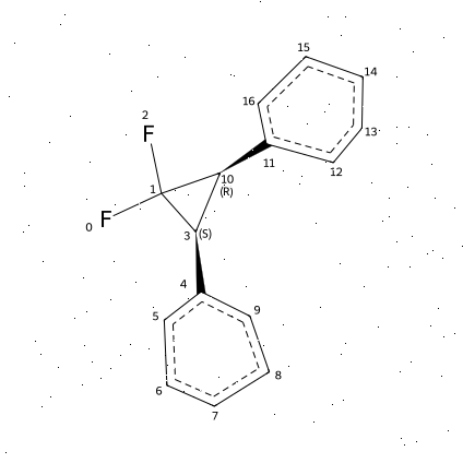 FC1(F)[C@H](c2ccccc2)[C@@H]1c1ccccc1